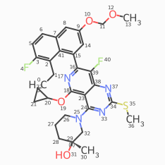 CCc1c(F)ccc2cc(OCOC)cc(-c3nc(OC4CC4)c4c(N5CCC[C@@](C)(O)C5)nc(SC)nc4c3F)c12